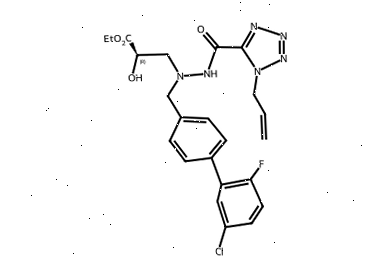 C=CCn1nnnc1C(=O)NN(Cc1ccc(-c2cc(Cl)ccc2F)cc1)C[C@@H](O)C(=O)OCC